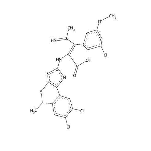 COc1cc(Cl)cc(/C(C(C)=N)=C(/Nc2nc3c(s2)SC(C)c2cc(Cl)c(Cl)cc2-3)C(=O)O)c1